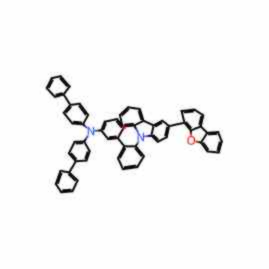 c1ccc(-c2ccc(N(c3ccc(-c4ccccc4)cc3)c3cccc(-c4ccccc4-n4c5ccccc5c5cc(-c6cccc7c6oc6ccccc67)ccc54)c3)cc2)cc1